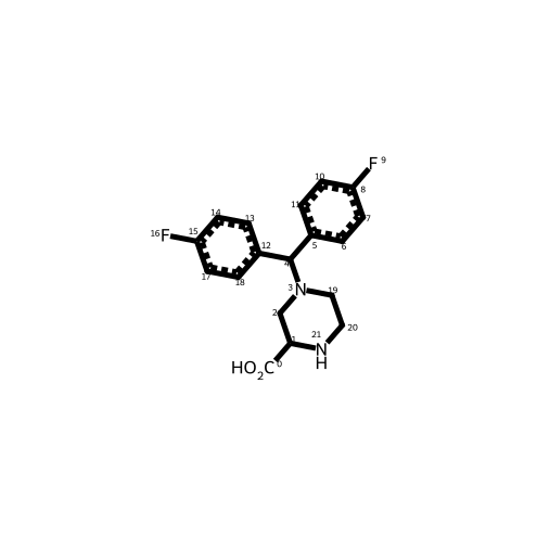 O=C(O)C1CN(C(c2ccc(F)cc2)c2ccc(F)cc2)CCN1